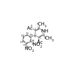 CC(=O)C1=C(C)NC(C)=C(C(C)=O)C1c1cccc([N+](=O)[O-])c1[N+](=O)[O-]